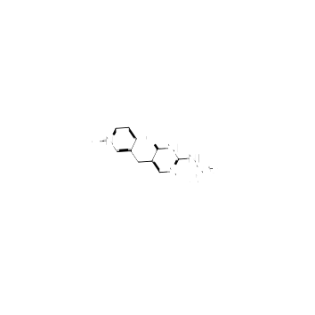 O=c1[nH]c(N[N+](=O)[O-])ncc1Cc1ccc[n+]([O-])c1